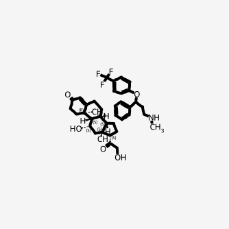 CNCCC(Oc1ccc(C(F)(F)F)cc1)c1ccccc1.C[C@]12C[C@H](O)[C@H]3[C@@H](CCC4=CC(=O)CC[C@@]43C)[C@@H]1CC[C@@H]2C(=O)CO